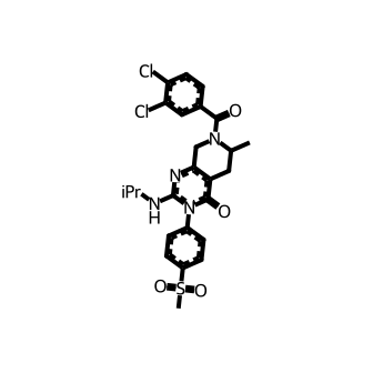 CC(C)Nc1nc2c(c(=O)n1-c1ccc(S(C)(=O)=O)cc1)CC(C)N(C(=O)c1ccc(Cl)c(Cl)c1)C2